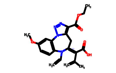 C=CN1/C(=C(\C(=C)C)C(=O)O)Cc2c(C(=O)OCC)nnn2-c2cc(OC)ccc21